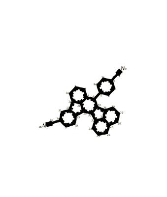 N#Cc1ccc(-c2c3cccc4c5cc(C#N)ccc5c(c34)c3c4cccc5cccc(c23)c54)cc1